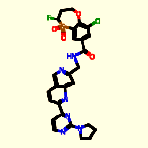 O=C(NCc1cc2nc(-c3ccnc(N4CCCC4)n3)ccc2cn1)c1cc(Cl)c2c(c1)S(=O)(=O)[C@@H](F)CCO2